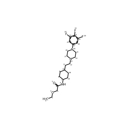 CCOCC(=O)NC1CCC(CCN2CCN(c3cc(F)c(F)c(F)c3)CC2)CC1